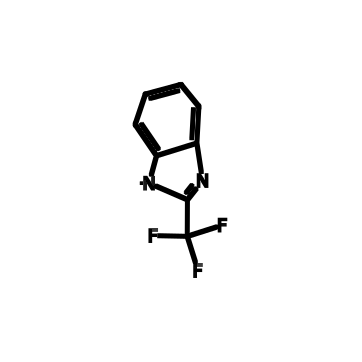 FC(F)(F)C1=Nc2ccccc2[N]1